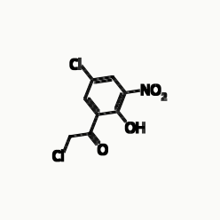 O=C(CCl)c1cc(Cl)cc([N+](=O)[O-])c1O